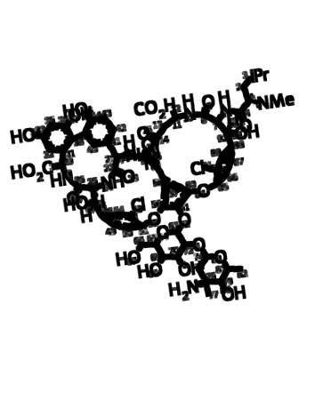 CN[C@H](CC(C)C)C(=O)NC1C(=O)NC(C(=O)O)CC(=O)N[C@H]2C(=O)N[C@H]3C(=O)N[C@H](C(=O)NC(C(=O)O)c4cc(O)cc(O)c4-c4cc3ccc4O)[C@H](O)c3ccc(c(Cl)c3)Oc3cc2cc(c3OC2OC(CO)C(O)C(O)C2OC2CC(C)(N)C(O)C(C)O2)Oc2ccc(cc2Cl)[C@H]1O